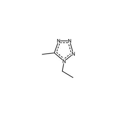 CCn1nnnc1C